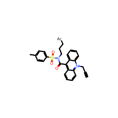 C#CC[n+]1c2ccccc2c(C(=O)N(CCCC(C)=O)S(=O)(=O)c2ccc(C)cc2)c2ccccc21